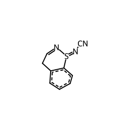 N#CN=S1N=CCc2ccccc21